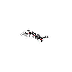 Cc1c(NC(=O)c2cc(C3CC3)c(CNCCO)cn2)cccc1-c1cccc(NC(=O)c2cc(C3CC3)c(CN[C@H](C=O)CO)cn2)c1C